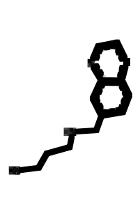 SCCCNCc1ccc2nccnc2c1